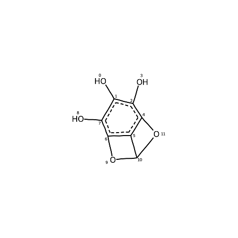 Oc1c(O)c2c3c(c1O)OC3O2